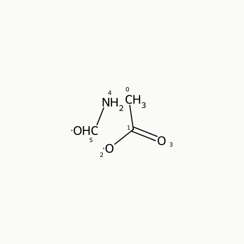 CC([O])=O.N[C]=O